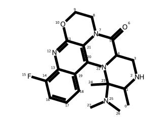 CC1NCC2C(=O)N3CCOc4nc5c(F)cccc5c(c43)N2C1(C)N(C)C